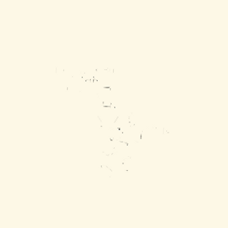 CC(C)(C)OC(=O)c1cc2nc(OC(=O)N(N(C(=O)O)C(C)(C)C)C(C)(C)C)ccc2n1S(=O)(=O)c1ccccc1